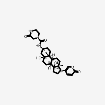 C[C@]12CC[C@H](NC(=O)N3CCNC(=O)C3)C[C@@]1(O)CC[C@@H]1[C@@H]2CC[C@]2(C)[C@@H](c3ccc(=O)oc3)CC[C@]12O